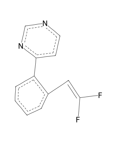 FC(F)=Cc1ccccc1-c1ccncn1